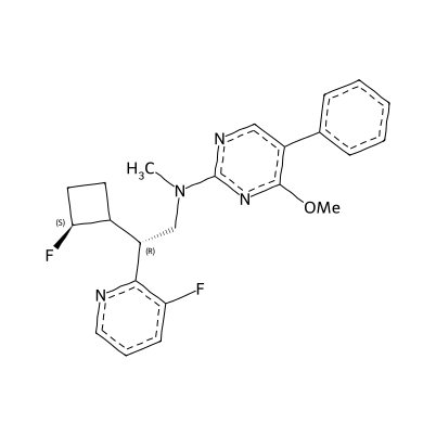 COc1nc(N(C)C[C@H](c2ncccc2F)C2CC[C@@H]2F)ncc1-c1ccccc1